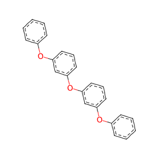 c1ccc(Oc2cccc(Oc3cccc(Oc4ccccc4)c3)c2)cc1